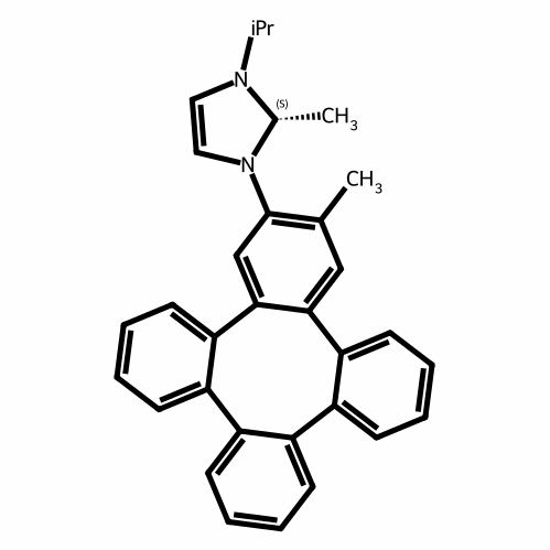 Cc1cc2c(cc1N1C=CN(C(C)C)[C@@H]1C)-c1ccccc1-c1ccccc1-c1ccccc1-2